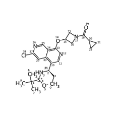 CC[C@@H](N[S+]([O-])C(C)(C)C)c1cnc(OC2CN(C(=O)C3CC3)C2)c2cnc(Cl)cc12